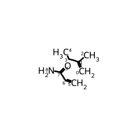 C=C(C)CC.C=CC(N)=O